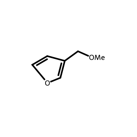 [CH2]OCc1ccoc1